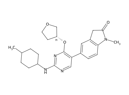 CC1CCC(Nc2ncc(-c3ccc4c(c3)CC(=O)N4C)c(O[C@@H]3CCOC3)n2)CC1